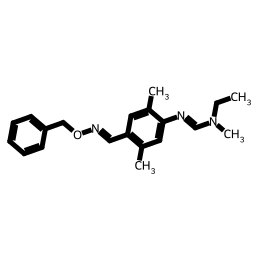 CCN(C)C=Nc1cc(C)c(/C=N/OCc2ccccc2)cc1C